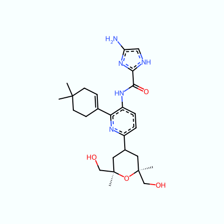 CC1(C)CC=C(c2nc(C3C[C@](C)(CO)O[C@](C)(CO)C3)ccc2NC(=O)c2nc(N)c[nH]2)CC1